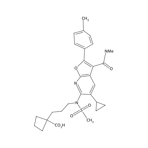 CNC(=O)c1c(-c2ccc(C)cc2)oc2nc(N(CCCC3(C(=O)O)CCC3)S(C)(=O)=O)c(C3CC3)cc12